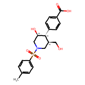 Cc1ccc(S(=O)(=O)N2C[C@H](CO)[C@@H](c3ccc(C(=O)O)cc3)[C@H](O)C2)cc1